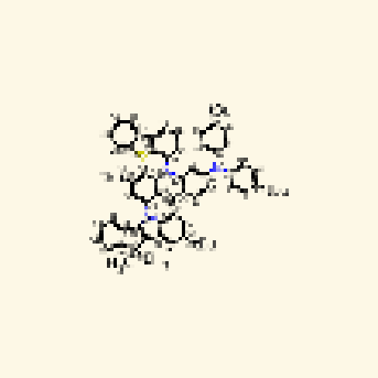 CC(C)(C)c1ccc(N(c2ccc(C(C)(C)C)cc2)c2ccc3c(c2)N(c2cccc4c2sc2ccccc24)c2cc(C(C)(C)C)cc4c2B3c2cc(C(C)(C)C)cc3c5c(n-4c23)-c2ccccc2C5(C)C)cc1